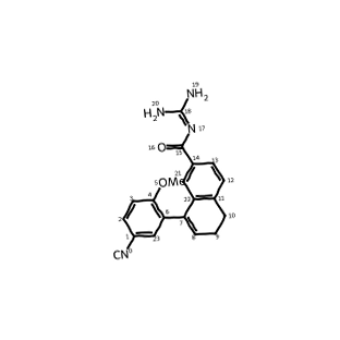 [C-]#[N+]c1ccc(OC)c(C2=CCCc3ccc(C(=O)N=C(N)N)cc32)c1